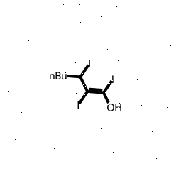 CCCCC(I)C(I)=C(O)I